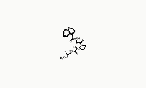 COC(=O)CNC(=O)C(O)[C@@H]1CCCN1C(=O)CNC(=O)c1ccnc2ccccc12